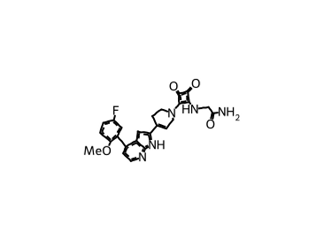 COc1ccc(F)cc1-c1ccnc2[nH]c(C3=CCN(c4c(NCC(N)=O)c(=O)c4=O)CC3)cc12